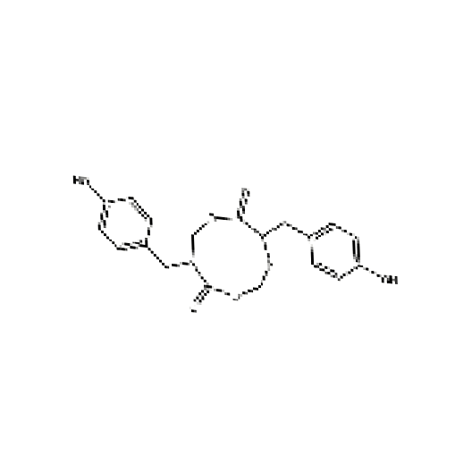 O=C1OCNC(Cc2ccc(O)cc2)C(=O)OCC1Cc1ccc(O)cc1